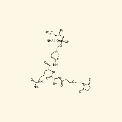 CC(=O)N[C@H](C(=O)O)[C@H](OP(=O)(O)OCc1ccc(NC(=O)[C@H](CCCNC(N)=O)NC(=O)[C@@H](NC(=O)CCOCCN2C(=O)C=CC2=O)C(C)C)cc1)C(C)C